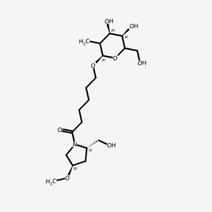 CO[C@@H]1C[C@@H](CO)N(C(=O)CCCCCO[C@@H]2OC(CO)[C@H](O)[C@H](O)C2C)C1